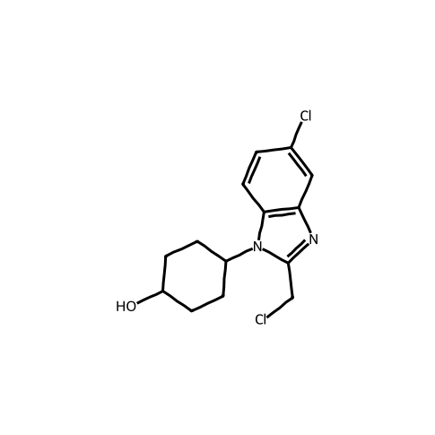 OC1CCC(n2c(CCl)nc3cc(Cl)ccc32)CC1